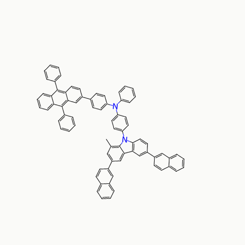 Cc1cc(-c2ccc3ccccc3c2)cc2c3cc(-c4ccc5ccccc5c4)ccc3n(-c3ccc(N(c4ccccc4)c4ccc(-c5ccc6c(-c7ccccc7)c7ccccc7c(-c7ccccc7)c6c5)cc4)cc3)c12